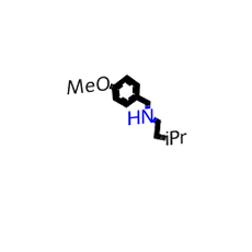 COc1ccc(CNCCC(C)C)cc1